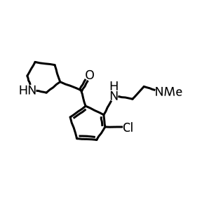 CNCCNc1c(Cl)cccc1C(=O)C1CCCNC1